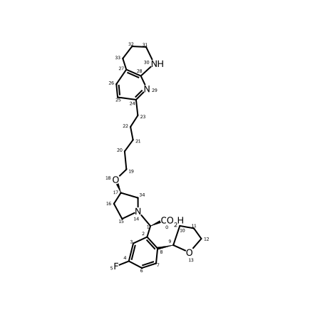 O=C(O)[C@@H](c1cc(F)ccc1[C@H]1CCCO1)N1CC[C@@H](OCCCCCc2ccc3c(n2)NCCC3)C1